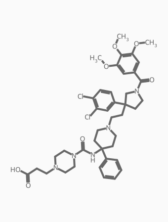 COc1cc(C(=O)N2CCC(CCN3CCC(NC(=O)N4CCN(CCC(=O)O)CC4)(c4ccccc4)CC3)(c3ccc(Cl)c(Cl)c3)C2)cc(OC)c1OC